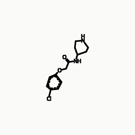 O=C(COc1ccc(Cl)cc1)NC1CCNCC1